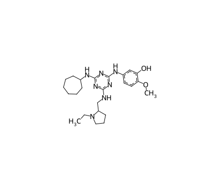 CCN1CCCC1CNc1nc(Nc2ccc(OC)c(O)c2)nc(NC2CCCCCC2)n1